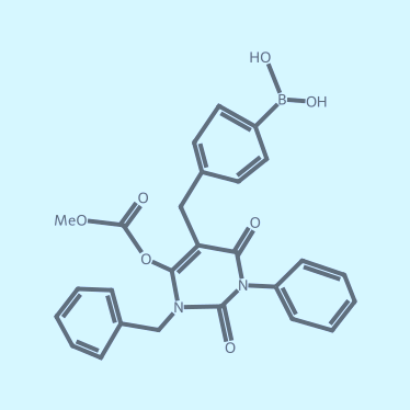 COC(=O)Oc1c(Cc2ccc(B(O)O)cc2)c(=O)n(-c2ccccc2)c(=O)n1Cc1ccccc1